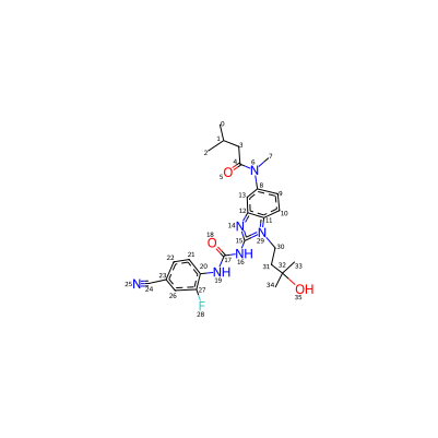 CC(C)CC(=O)N(C)c1ccc2c(c1)nc(NC(=O)Nc1ccc(C#N)cc1F)n2CCC(C)(C)O